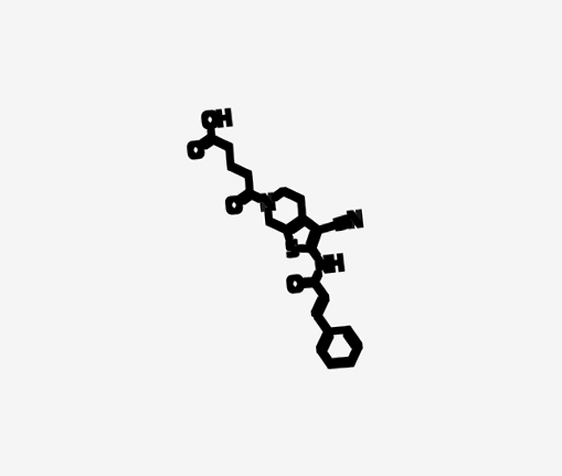 N#Cc1c(NC(=O)C=Cc2ccccc2)sc2c1CCN(C(=O)CCCC(=O)O)C2